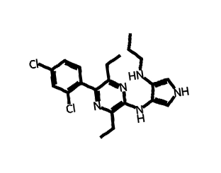 CCCNc1c[nH]cc1Nc1nc(CC)c(-c2ccc(Cl)cc2Cl)nc1CC